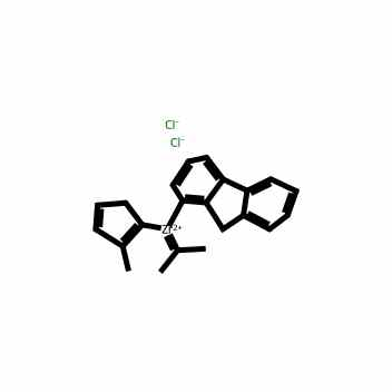 CC1=[C]([Zr+2](=[C](C)C)[c]2cccc3c2Cc2ccccc2-3)CC=C1.[Cl-].[Cl-]